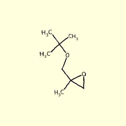 CC(C)(C)OCC1(C)CO1